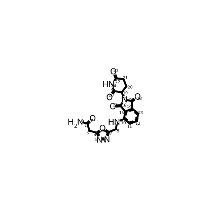 NC(=O)Cc1nnc(CNc2cccc3c2C(=O)N(C2CCC(=O)NC2=O)C3=O)o1